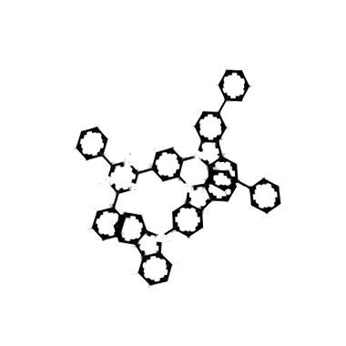 c1ccc(-c2ccc3c(c2)c2cc(-c4ccccc4)ccc2n3-c2ccc(-c3nc(-c4ccccc4)nc(-c4ccccc4)n3)cc2-n2c3ccccc3c3ccc(-n4c5ccccc5c5ccccc54)cc32)cc1